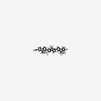 CC#Cc1ccc2c(c1)C(C)(N)c1cc(-c3ccc4c(c3)C(C)(C)c3cc(-c5ccc6c(c5)C(C)(NC)c5cc(C)ccc5-6)ccc3-4)ccc1-2